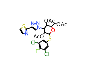 CC(=O)OCC1OC(Sc2cc(Cl)c(F)c(Cl)c2)C(OC(C)=O)C(n2cc(-c3nccs3)nn2)C1OC(C)=O